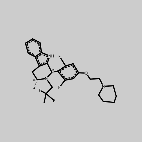 C[C@@H]1Cc2c([nH]c3ccccc23)[C@@H](c2c(F)cc(OCCN3CCCCC3)cc2F)N1CC(C)(F)F